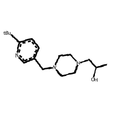 CC(O)CN1CCN(Cc2ccc(C(C)(C)C)nc2)CC1